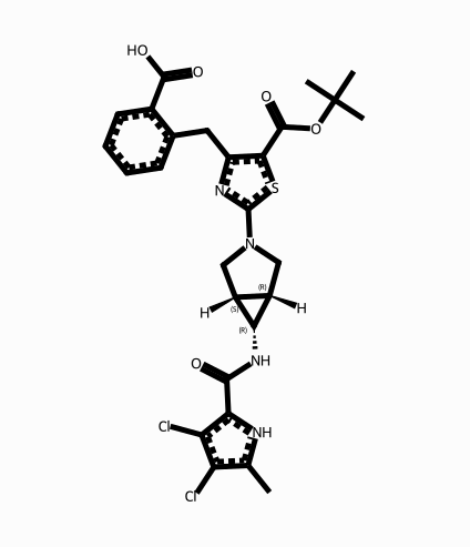 Cc1[nH]c(C(=O)N[C@@H]2[C@@H]3CN(c4nc(Cc5ccccc5C(=O)O)c(C(=O)OC(C)(C)C)s4)C[C@@H]32)c(Cl)c1Cl